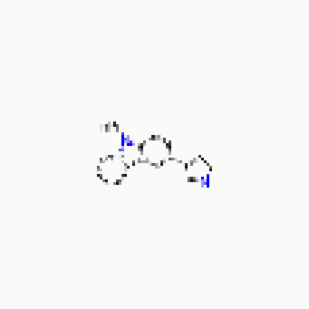 CCCn1c2ccccc2c2cc(C3=CCN=C3)ccc21